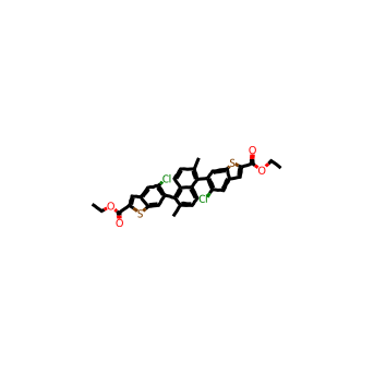 CCOC(=O)c1cc2cc(Cl)c(-c3c(C)ccc4c(-c5cc6sc(C(=O)OCC)cc6cc5Cl)c(C)ccc34)cc2s1